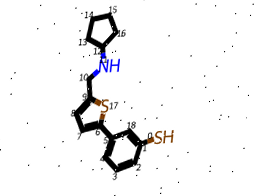 Sc1cccc(-c2ccc(CNC3CCCC3)s2)c1